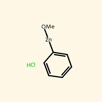 C[O][Zn][c]1ccccc1.Cl